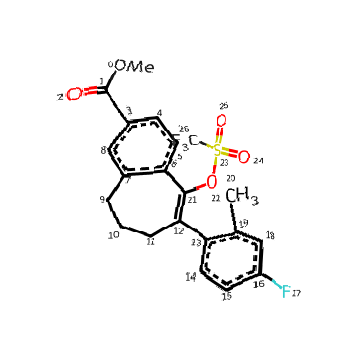 COC(=O)c1ccc2c(c1)CCCC(c1ccc(F)cc1C)=C2OS(=O)(=O)C(F)(F)F